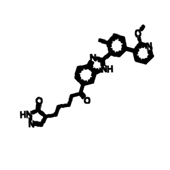 COc1ncccc1-c1ccc(C)c(-c2nc3ccc(C(=O)CCCCC4C=NNC4=O)cc3[nH]2)c1